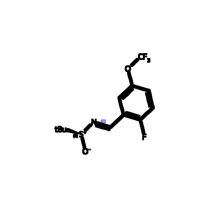 CC(C)(C)[S@+]([O-])/N=C/c1cc(OC(F)(F)F)ccc1F